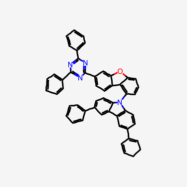 C1=CC(c2ccc3c(c2)c2cc(-c4ccccc4)ccc2n3-c2cccc3oc4cc(-c5nc(-c6ccccc6)nc(-c6ccccc6)n5)ccc4c23)=CCC1